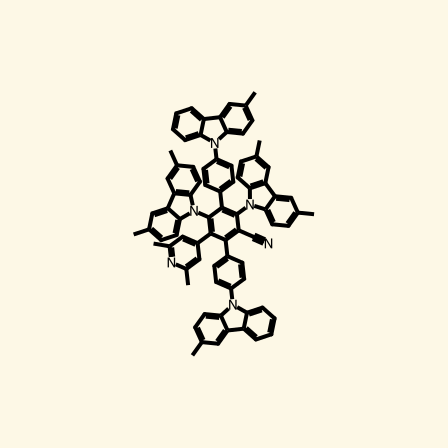 Cc1ccc2c(c1)c1ccccc1n2-c1ccc(-c2c(C#N)c(-n3c4ccc(C)cc4c4cc(C)ccc43)c(-c3ccc(-n4c5ccccc5c5cc(C)ccc54)cc3)c(-n3c4ccc(C)cc4c4cc(C)ccc43)c2-c2cc(C)nc(C)c2)cc1